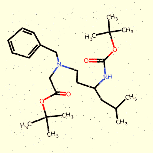 CC(C)CC(CCN(CC(=O)OC(C)(C)C)Cc1ccccc1)NC(=O)OC(C)(C)C